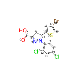 O=C(O)C1=NN(c2ccc(Cl)cc2Cl)C(c2cc(Br)cs2)C1